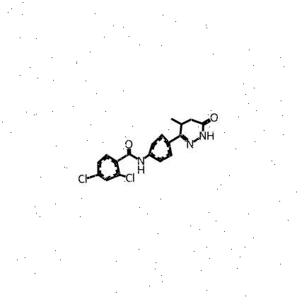 CC1CC(=O)NN=C1c1ccc(NC(=O)c2ccc(Cl)cc2Cl)cc1